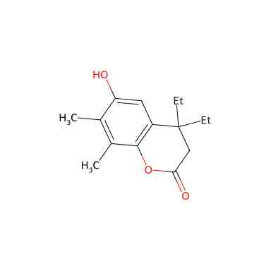 CCC1(CC)CC(=O)Oc2c1cc(O)c(C)c2C